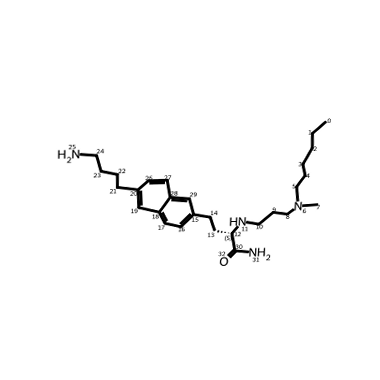 CCCCCCN(C)CCCN[C@@H](CCc1ccc2cc(CCCCN)ccc2c1)C(N)=O